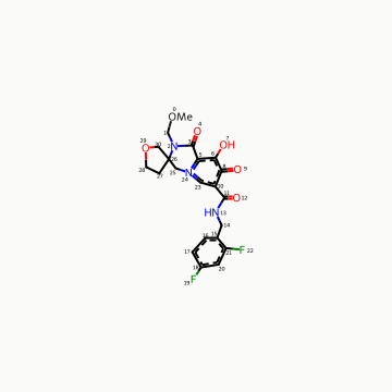 COCN1C(=O)c2c(O)c(=O)c(C(=O)NCc3ccc(F)cc3F)cn2CC12CCOC2